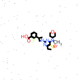 CN(c1nc(N2CC(c3cccc(C(=O)O)c3F)C2)nc2c1[S+]([O-])CC2)C1CCOCC1